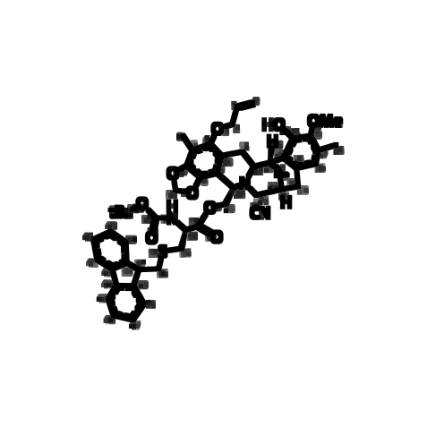 C=CCOc1c(C)c2c(c3c1CC1[C@@H]4c5c(cc(C)c(OC)c5O)C[C@@H]([C@H](C#N)N1[C@H]3COC(=O)[C@@H](CSCC1c3ccccc3-c3ccccc31)NC(=O)OC(C)(C)C)N4C)OCO2